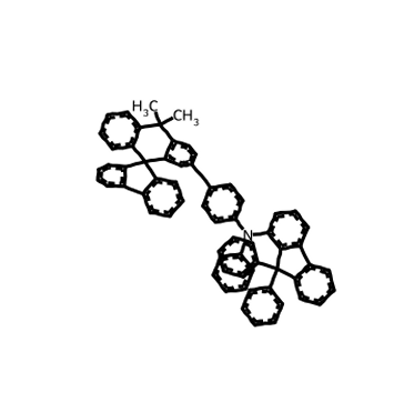 CC1(C)c2ccccc2C2(c3ccccc3-c3ccccc32)c2cc(-c3ccc(N(c4ccccc4)c4cccc5c4C(c4ccccc4)(c4ccccc4)c4ccccc4-5)cc3)ccc21